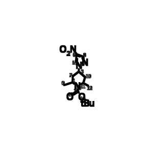 CC1CC(n2cc([N+](=O)[O-])cn2)CC(C)N1C(=O)OC(C)(C)C